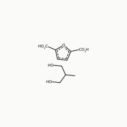 CC(CO)CO.O=C(O)c1ccc(C(=O)O)o1